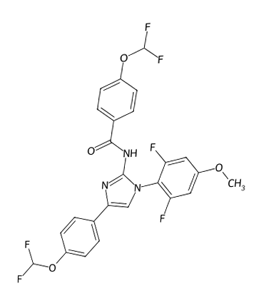 COc1cc(F)c(-n2cc(-c3ccc(OC(F)F)cc3)nc2NC(=O)c2ccc(OC(F)F)cc2)c(F)c1